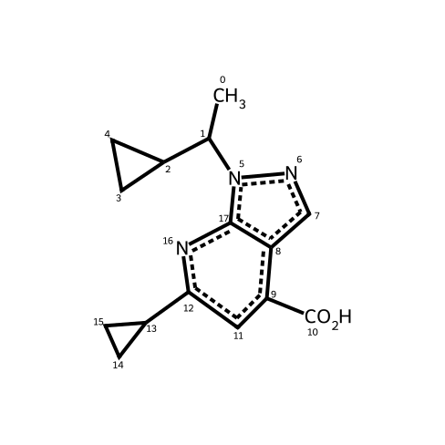 CC(C1CC1)n1ncc2c(C(=O)O)cc(C3CC3)nc21